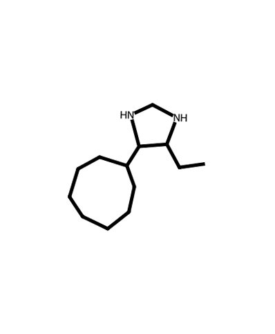 CCC1NCNC1C1CCCCCCC1